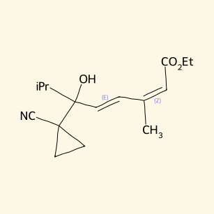 CCOC(=O)/C=C(C)\C=C\C(O)(C(C)C)C1(C#N)CC1